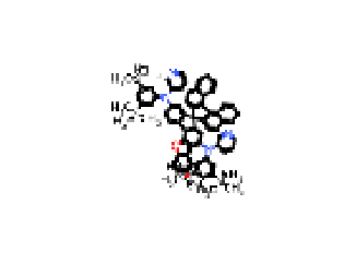 C[SiH](C)c1cc(N(c2cccnc2)c2ccc3c(c2)C2(c4ccc5ccccc5c4-c4c2ccc2ccccc42)c2cc(N(c4cccnc4)c4cc([Si](C)(C)C)cc([Si](C)(C)C)c4)c4c(oc5ccccc54)c2-3)cc([Si](C)(C)C)c1